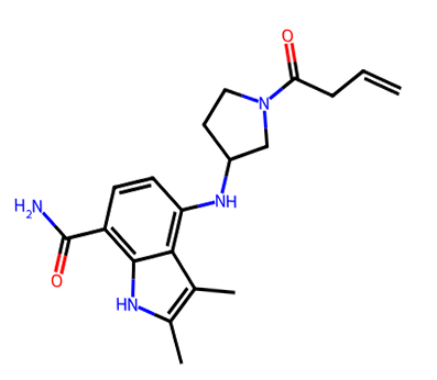 C=CCC(=O)N1CCC(Nc2ccc(C(N)=O)c3[nH]c(C)c(C)c23)C1